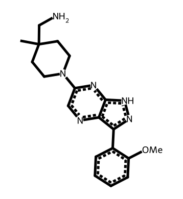 COc1ccccc1-c1n[nH]c2nc(N3CCC(C)(CN)CC3)cnc12